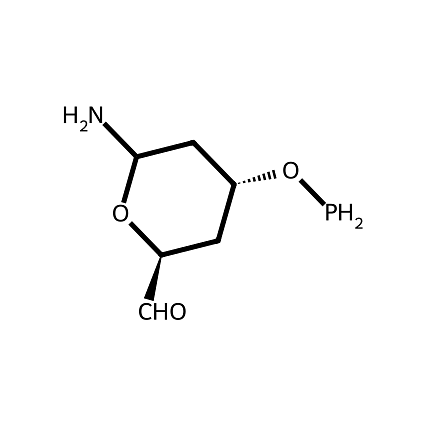 NC1C[C@H](OP)C[C@@H](C=O)O1